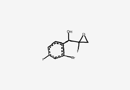 OC(c1ccc(F)cc1Br)C1(F)CO1